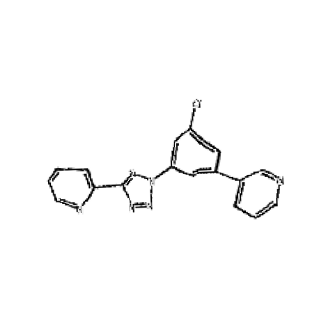 Clc1cc(-c2cccnc2)cc(-n2nnc(-c3ccccn3)n2)c1